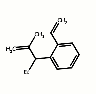 C=Cc1ccccc1C(CC)C(=C)C